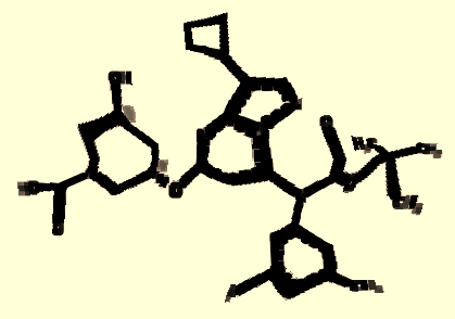 Cc1cc(F)cc(N(C(=O)OC(C)(C)C)c2cc(O[C@H]3C[C@H](O)CN(C(=O)O)C3)nc3c(C4CCC4)cnn23)c1